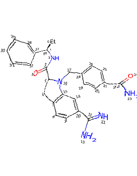 CC[C@@H](NC(=O)C1Cc2ccc(C(=N)N)cc2N1Cc1ccc(C(N)=O)cc1)c1ccccc1